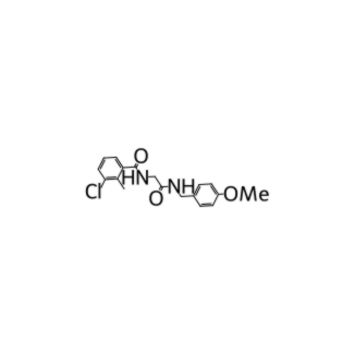 COc1ccc(CNC(=O)CNC(=O)c2cccc(Cl)c2C)cc1